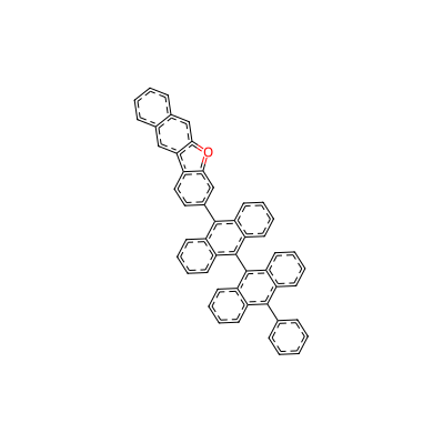 c1ccc(-c2c3ccccc3c(-c3c4ccccc4c(-c4ccc5c(c4)oc4cc6ccccc6cc45)c4ccccc34)c3ccccc23)cc1